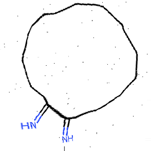 N=C1CCCCCCCCCCCC1=N